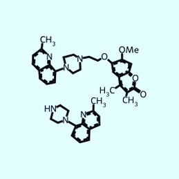 COc1cc2oc(=O)c(C)c(C)c2cc1OCCN1CCN(c2cccc3ccc(C)nc23)CC1.Cc1ccc2cccc(N3CCNCC3)c2n1